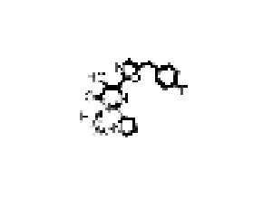 CC(=O)N1CCC[C@H]1c1nc(-c2ncc(Cc3ccc(F)cc3)o2)c(O)c(=O)n1C